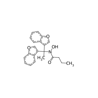 CCCC(=O)N(O)C(C)(c1coc2ccccc12)c1coc2ccccc12